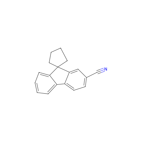 N#Cc1ccc2c(c1)C1(CCCC1)c1ccccc1-2